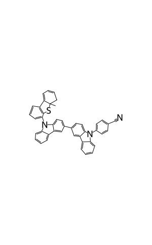 CC12CC=CC=C1c1cccc(-n3c4ccccc4c4cc(-c5ccc6c(c5)c5ccccc5n6-c5ccc(C#N)cc5)ccc43)c1S2